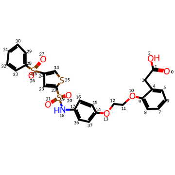 O=C(O)Cc1ccccc1OCCOc1ccc(NS(=O)(=O)c2cc(S(=O)(=O)c3ccccc3)cs2)cc1